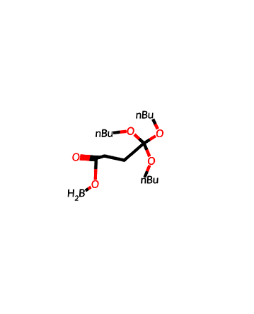 BOC(=O)CCC(OCCCC)(OCCCC)OCCCC